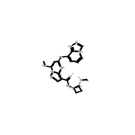 CNc1cc(Nc2cccn3cnnc23)nc2c(C(=O)N[C@@H]3CC[C@H]3OC)cnn12